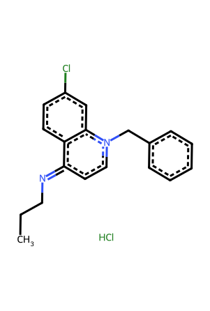 CCC/N=c1\ccn(Cc2ccccc2)c2cc(Cl)ccc12.Cl